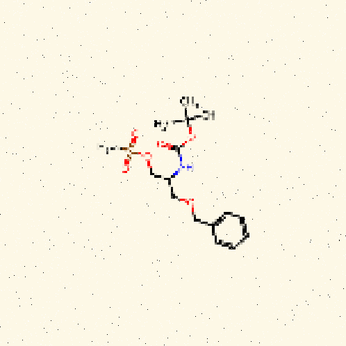 CC(C)(C)OC(=O)N[C@@H](COCc1ccccc1)COS(C)(=O)=O